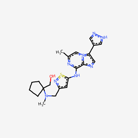 Cc1cn2c(-c3cn[nH]c3)cnc2c(Nc2cc(CN(C)C3(CO)CCCC3)ns2)n1